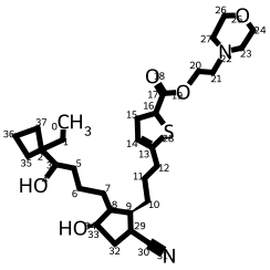 CCC1(C(O)CCCC2[C@@H](CCCC3=CCC(C(=O)OCCN4CCOCC4)S3)C(C#N)C[C@H]2O)CCC1